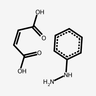 NNc1ccccc1.O=C(O)/C=C\C(=O)O